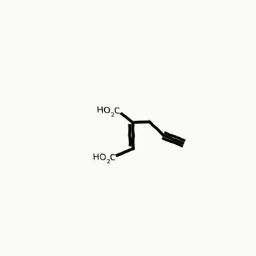 C#CC/C(=C/C(=O)O)C(=O)O